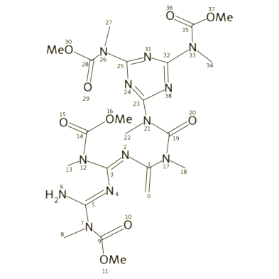 C=C(/N=C(\N=C(/N)N(C)C(=O)OC)N(C)C(=O)OC)N(C)C(=O)N(C)c1nc(N(C)C(=O)OC)nc(N(C)C(=O)OC)n1